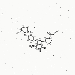 C=CCC(=O)N1CCCC(n2cc(-c3ccc(Oc4c(F)cccc4F)cc3)c3c(N)n[nH]c(=O)c32)C1